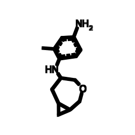 Cc1cc(N)ccc1NC1COCC2CC2C1